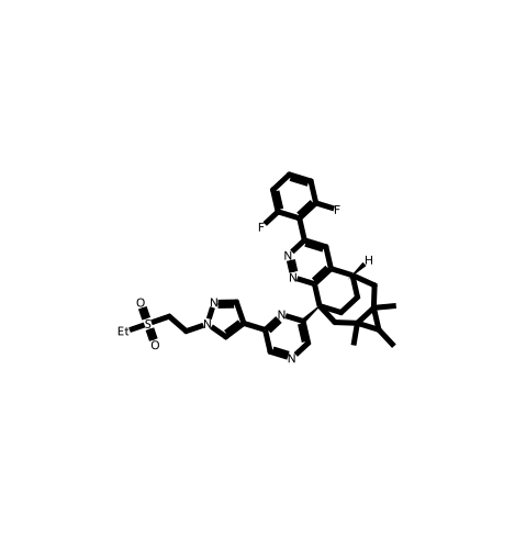 CCS(=O)(=O)CCn1cc(-c2cncc([C@@]34CC[C@@H](CC5(C)C(C)C5(C)C3)c3cc(-c5c(F)cccc5F)nnc34)n2)cn1